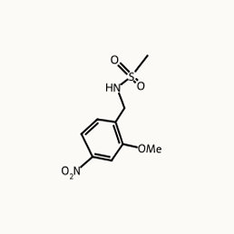 COc1cc([N+](=O)[O-])ccc1CNS(C)(=O)=O